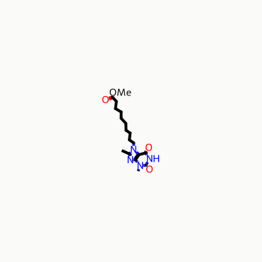 COC(=O)CCCCCCCCCn1c(C)nc2c1c(=O)[nH]c(=O)n2C